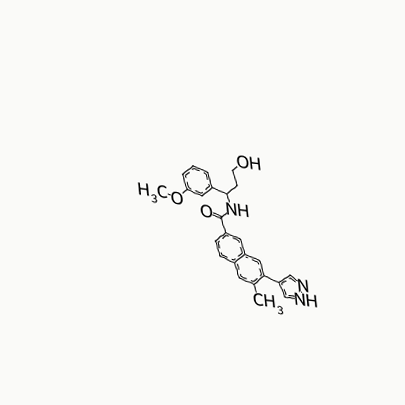 COc1cccc(C(CCO)NC(=O)c2ccc3cc(C)c(-c4cn[nH]c4)cc3c2)c1